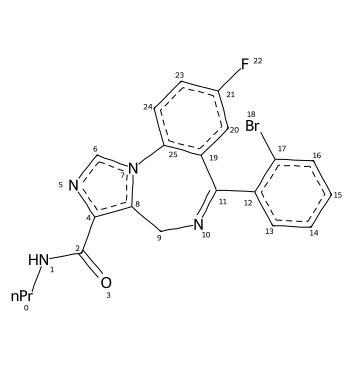 CCCNC(=O)c1ncn2c1CN=C(c1ccccc1Br)c1cc(F)ccc1-2